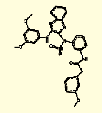 COc1cccc(CC(=O)Nc2cccc(N(c3nc4ccccc4nc3Nc3cc(OC)cc(OC)c3)[SH](=O)=O)c2)c1